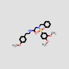 COc1ccc(CCNC(=O)CN(Cc2ccccc2)S(=O)(=O)c2ccc(OC)c(OC)c2)cc1